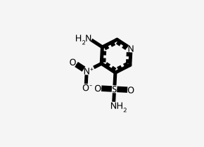 Nc1cncc(S(N)(=O)=O)c1[N+](=O)[O-]